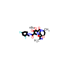 CCCCOc1c2n(cc(C(=O)NCc3ccc(F)cc3F)c1=O)[C@@H]1CN(C2=O)[C@@H](C)CC[C@]12ON=C(C)C2=O